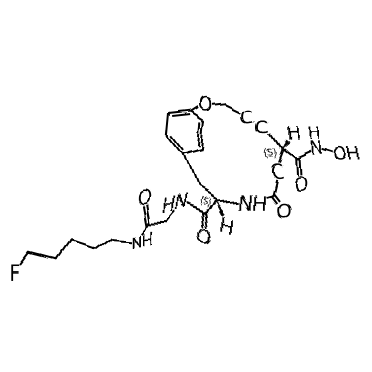 O=C(CNC(=O)[C@@H]1Cc2ccc(cc2)OCCC[C@H](C(=O)NO)CC(=O)N1)NCCCCCF